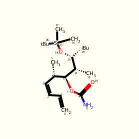 C=C/C=C\[C@H](C)[C@H](OC(N)=O)[C@@H](C)[C@H](O[Si](C)(C)C(C)(C)C)[C@@H](C)CC